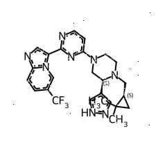 CC1(C)C[C@@H]1CN1CCN(c2ccnc(-c3cnc4ccc(C(F)(F)F)cn34)n2)C[C@@H]1c1cn[nH]c1